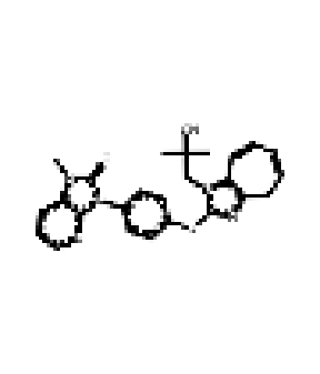 Cn1c(=O)n(-c2ccc(Oc3nc4c(n3CC(C)(C)O)C=CC=CC4)cc2)c2ncccc21